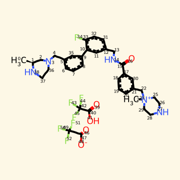 C[C@H]1CN(Cc2cccc(-c3cc(CNC(=O)c4cccc(C[N+]5(C)CCNCC5)c4)ccc3F)c2)CCN1.O=C(O)C(F)(F)F.O=C([O-])C(F)(F)F